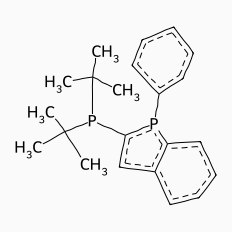 CC(C)(C)P(c1cc2ccccc2p1-c1ccccc1)C(C)(C)C